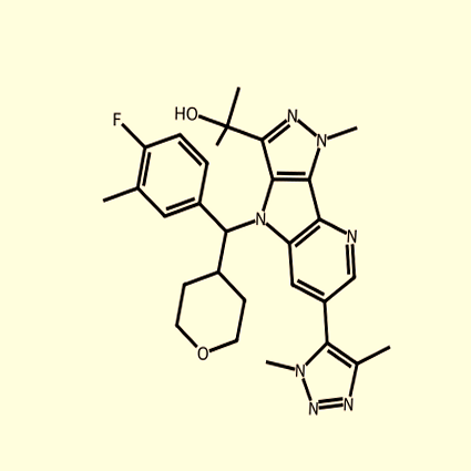 Cc1cc(C(C2CCOCC2)n2c3cc(-c4c(C)nnn4C)cnc3c3c2c(C(C)(C)O)nn3C)ccc1F